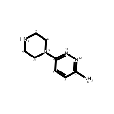 Nc1ccc(N2CCNCC2)nn1